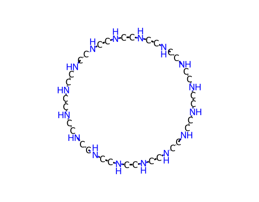 C1CNCCNCCNCCNCCNCCNCCNCCNCCNCCNCCNCCNCCNCCNCCNCCN1